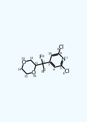 FC(F)(c1cc(Cl)nc(Cl)c1)C1COCCO1